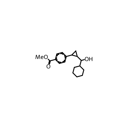 COC(=O)c1ccc(C2CC2C(O)C2CCCCC2)cc1